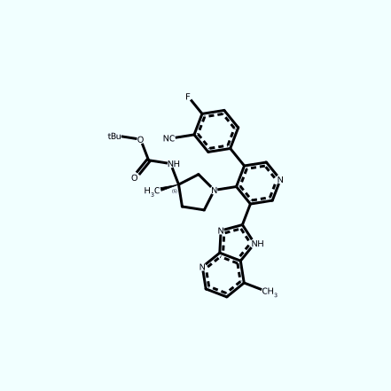 Cc1ccnc2nc(-c3cncc(-c4ccc(F)c(C#N)c4)c3N3CC[C@](C)(NC(=O)OC(C)(C)C)C3)[nH]c12